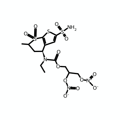 CCN(C(=O)OCC(CO[N+](=O)[O-])O[N+](=O)[O-])[C@H]1CC(C)S(=O)(=O)c2sc(S(N)(=O)=O)cc21